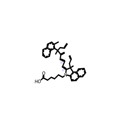 C=CCC(C)(C(=C)/C=C/C=C1/N(CCCCCC(=O)O)c2ccc3ccccc3c2C1(C)CC=C)c1c(C)ccc2ccccc12